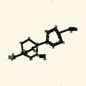 COc1ccc(C23CCC(N)(CC2)CC3)cc1.Cl